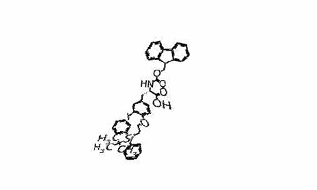 CC(C)(C)[Si](CCOc1ccc(C[C@H](NC(=O)OCC2c3ccccc3-c3ccccc32)C(=O)O)cc1I)(c1ccccc1)c1ccccc1